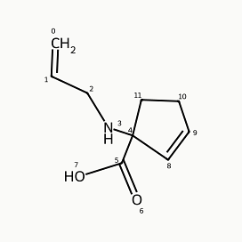 C=CCNC1(C(=O)O)C=CCC1